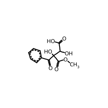 COC(=O)C(O)(C(=O)c1ccccc1)C(O)C(=O)O